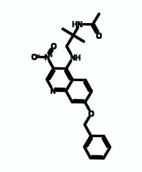 CC(=O)NC(C)(C)CNc1c([N+](=O)[O-])cnc2cc(OCc3ccccc3)ccc12